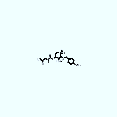 COc1ccc(CN2NNC3=C2[C@]2(CCC3OC(=O)NCC(N)=O)CO2)cc1